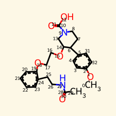 COc1ccc(C2CCN(C(=O)O)CC2OCCOc2ccccc2CCNC(C)=O)cc1